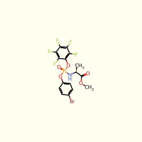 COC(=O)[C@H](C)NP(=O)(Oc1ccc(Br)cc1)Oc1c(F)c(F)c(F)c(F)c1F